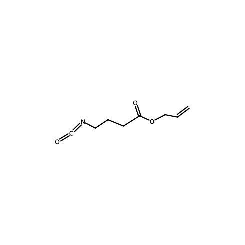 C=CCOC(=O)CCCN=C=O